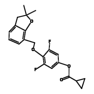 CC1(C)Cc2cccc(COc3c(F)cc(OC(=O)C4CC4)cc3F)c2O1